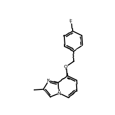 Cc1cn2cccc(OCc3ccc(F)cc3)c2n1